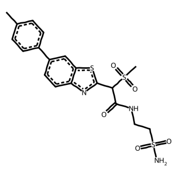 Cc1ccc(-c2ccc3nc(C(C(=O)NCCS(N)(=O)=O)S(C)(=O)=O)sc3c2)cc1